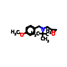 COc1ccc(CN(CC2CO2)C(C)(C)C)cc1